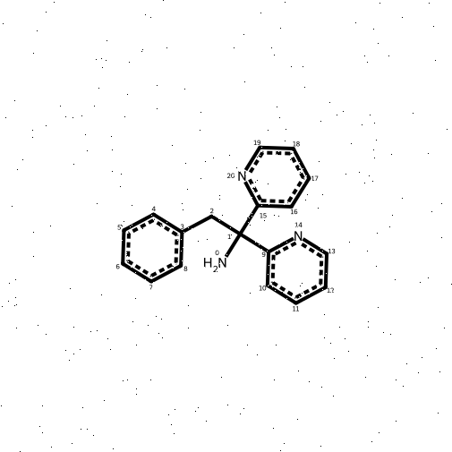 NC(Cc1ccccc1)(c1ccccn1)c1ccccn1